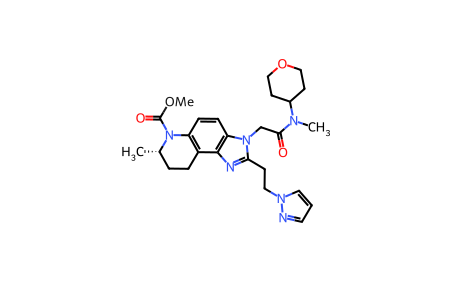 COC(=O)N1c2ccc3c(nc(CCn4cccn4)n3CC(=O)N(C)C3CCOCC3)c2CC[C@@H]1C